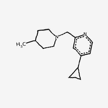 CC1CCN(Cc2cc(C3CC3)ccn2)CC1